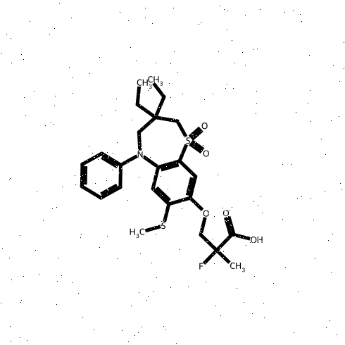 CCC1(CC)CN(c2ccccc2)c2cc(SC)c(OCC(C)(F)C(=O)O)cc2S(=O)(=O)C1